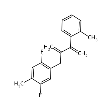 C=C(Cc1cc(F)c(C)cc1F)C(=C)c1ccccc1C